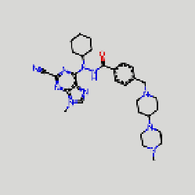 CN1CCN(C2CCN(Cc3ccc(C(=O)NN(c4nc(C#N)nc5c4ncn5C)C4CCCCC4)cc3)CC2)CC1